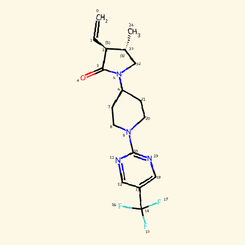 C=C[C@@H]1C(=O)N(C2CCN(c3ncc(C(F)(F)F)cn3)CC2)C[C@H]1C